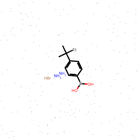 Br.CCC(C)(C)c1ccc(B(O)O)cc1.N.N